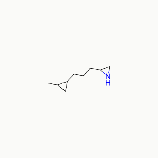 CC1CC1CCCC1CN1